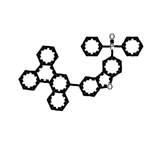 O=P(c1ccccc1)(c1ccccc1)c1ccc2oc3ccc(-c4cc5c6ccccc6c6ccccc6c5c5ccccc45)cc3c2c1